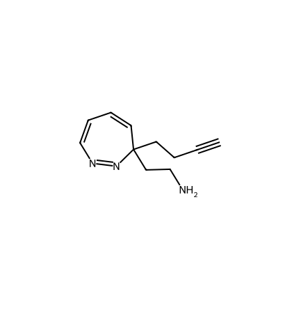 C#CCCC1(CCN)C=CC=CN=N1